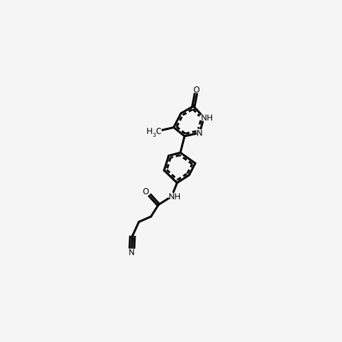 Cc1cc(=O)[nH]nc1-c1ccc(NC(=O)CCC#N)cc1